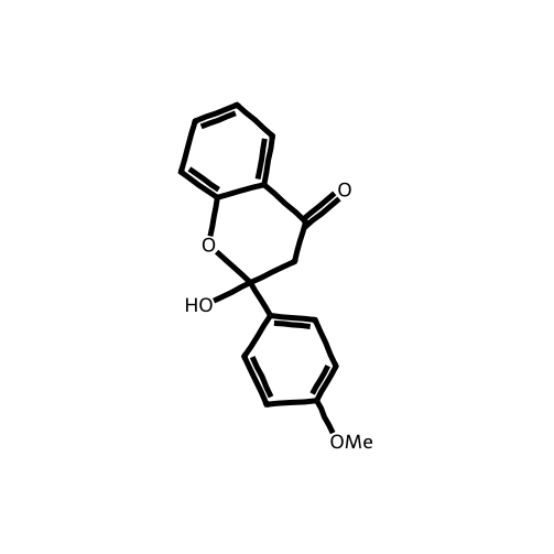 COc1ccc(C2(O)CC(=O)c3ccccc3O2)cc1